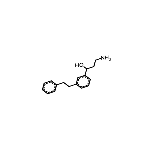 NCCC(O)c1cccc(CCc2ccccc2)c1